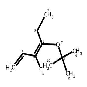 C=C/C(Cl)=C(\CC)OC(C)(C)C